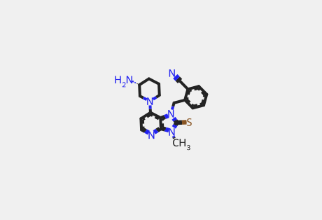 Cn1c(=S)n(Cc2ccccc2C#N)c2c(N3CCC[C@@H](N)C3)ccnc21